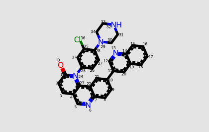 O=c1ccc2cnc3ccc(-c4cnc5ccccc5c4)cc3c2n1-c1ccc(N2CCNCC2)c(Cl)c1